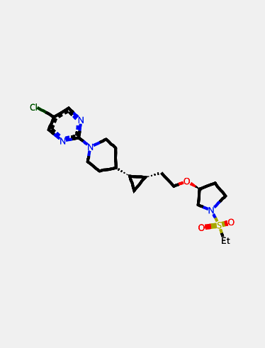 CCS(=O)(=O)N1CC[C@H](OCC[C@@H]2C[C@@H]2C2CCN(c3ncc(Cl)cn3)CC2)C1